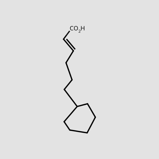 O=C(O)/C=C/CCCC1CCCCC1